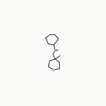 CC1(CNC2CCCCC2)CCOCC1